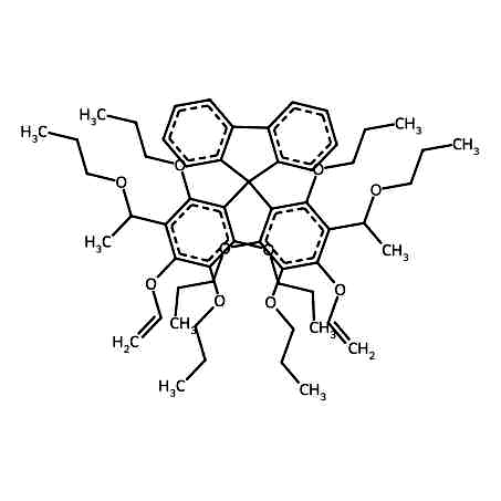 C=COc1c(OCCC)c(OCCC)c(C2(c3c(OCCC)c(OCCC)c(OC=C)c(C(C)OCCC)c3OCCC)c3ccccc3-c3ccccc32)c(OCCC)c1C(C)OCCC